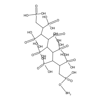 BOP(=O)(O)CC(C(C(C(C(C(C(CP(=O)(O)O)P(=O)(O)O)P(=O)(O)O)P(=O)(O)O)P(=O)(O)O)P(=O)(O)O)P(=O)(O)O)P(=O)(O)O